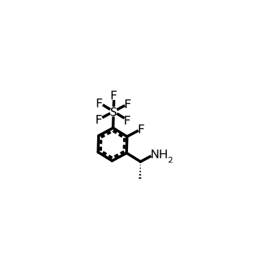 C[C@@H](N)c1cccc(S(F)(F)(F)(F)F)c1F